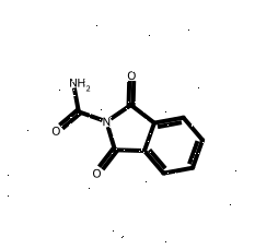 NC(=O)N1C(=O)c2ccccc2C1=O